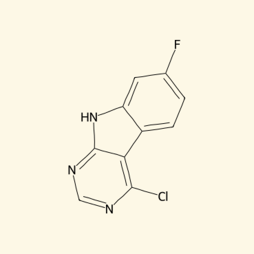 Fc1ccc2c(c1)[nH]c1ncnc(Cl)c12